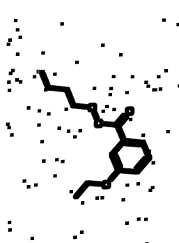 [CH2]CCCOOC(=O)c1cccc(OCC)c1